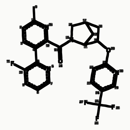 Cc1ccc(-c2ncccc2F)c(C(=O)N2CC3CC(Oc4ccc(C(F)(F)F)cn4)C2C3)n1